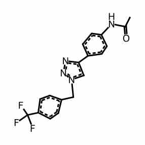 CC(=O)Nc1ccc(-c2cn(Cc3ccc(C(F)(F)F)cc3)nn2)cc1